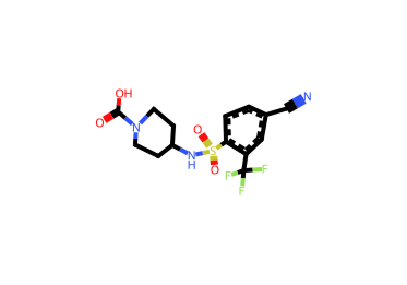 N#Cc1ccc(S(=O)(=O)NC2CCN(C(=O)O)CC2)c(C(F)(F)F)c1